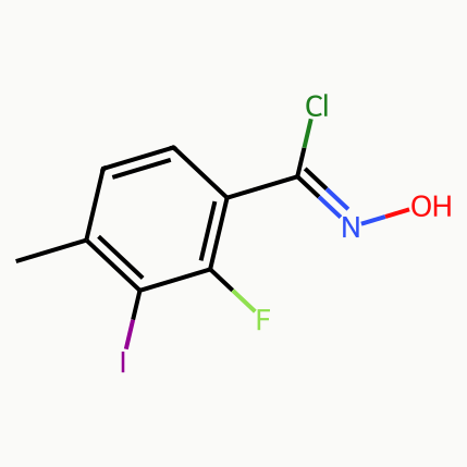 Cc1ccc(C(Cl)=NO)c(F)c1I